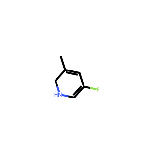 CC1=CC(F)=CNC1